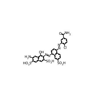 NC(=O)c1ccc(Cl)c(N=Nc2ccc(N=Nc3c(S(=O)(=O)O)cc4cc(S(=O)(=O)O)c(N)cc4c3O)c3cc(S(=O)(=O)O)ccc23)c1